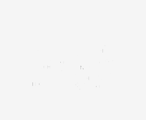 CC(C)C[C@H](OCc1ccccc1)C(=O)N1CC[C@H]2OCC(=O)[C@H]21